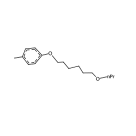 [CH2+][CH-]COCCCCCCOc1ccc(C)cc1